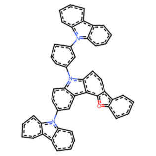 c1cc(-n2c3ccccc3c3ccccc32)cc(-n2c3ccc(-n4c5ccccc5c5ccccc54)cc3c3c4oc5ccccc5c4ccc32)c1